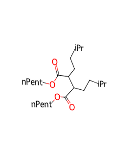 CCCCCOC(=O)C(CCC(C)C)C(CCC(C)C)C(=O)OCCCCC